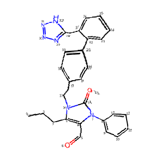 CCCc1c(C=O)n(-c2ccccc2)c(=O)n1Cc1ccc(-c2ccccc2-c2nnn[nH]2)cc1